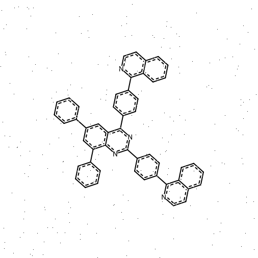 c1ccc(-c2cc(-c3ccccc3)c3nc(-c4ccc(-c5nccc6ccccc56)cc4)nc(-c4ccc(-c5nccc6ccccc56)cc4)c3c2)cc1